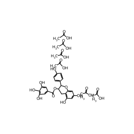 CC(=O)O.CC(=O)O.CC(=O)O.CC(=O)O.CC(=O)O.CC(=O)O.O=C(OC1Cc2c(O)cc(O)cc2OC1c1ccc(O)cc1)c1cc(O)c(O)c(O)c1